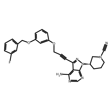 N#CN1CCC[C@@H](n2nc(C#CCOc3cccc(OCc4cccc(F)c4)c3)c3c(N)ncnc32)C1